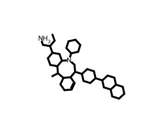 CCC(CN)C1CCC2C(C)C3CCC=CC3C(C3CCC(C4CCC5CCCCC5C4)CC3)CN(C3CCCCC3)C2C1